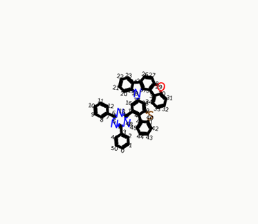 c1ccc(-c2nc(-c3ccccc3)nc(-c3cc(-n4c5ccccc5c5ccc6oc7ccccc7c6c54)cc4sc5ccccc5c34)n2)cc1